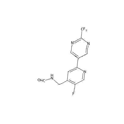 O=CNCc1cc(-c2cnc(C(F)(F)F)nc2)ncc1F